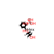 CC(C)(O)C(C)(C)O.CCCCCCc1ccccc1.OB(O)O